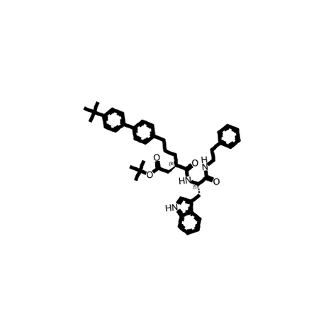 CC(C)(C)OC(=O)C[C@@H](CCCc1ccc(-c2ccc(C(C)(C)C)cc2)cc1)C(=O)N[C@@H](Cc1c[nH]c2ccccc12)C(=O)NCCc1ccccc1